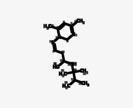 CC1=CC(C)=NCN1/N=C\CC(O)NC(C)(C)C(C)C